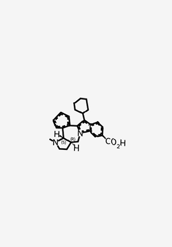 CN1CC[C@@H]2Cn3c(c(C4CCCCC4)c4ccc(C(=O)O)cc43)-c3ccccc3[C@H]21